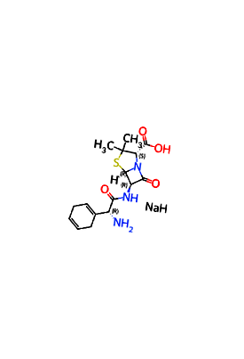 CC1(C)S[C@@H]2[C@H](NC(=O)[C@H](N)C3=CCC=CC3)C(=O)N2[C@H]1C(=O)O.[NaH]